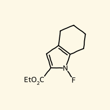 CCOC(=O)c1cc2c(n1F)CCCC2